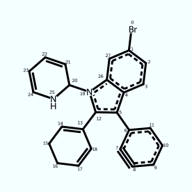 Brc1ccc2c(-c3c#cccc3)c(C3=CCCC=C3)n(C3C=CC=CN3)c2c1